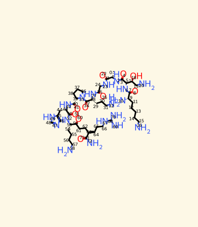 C[C@H](NC(=O)[C@@H](NC(=O)[C@@H](N)CCCCCN)[C@@H](O)CN)C(=O)NCC(=O)N[C@H](CCCN)C(=O)N1CCC[C@H]1C(=O)N[C@@H](Cc1cnc[nH]1)C(=O)N[C@@H](CCCCN)C(=O)CC/C(=C\CCNC(=N)N)C(N)=O